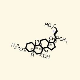 C[C@H](/C=C/C(=O)O)C1CCC2[C@H]3C(CC[C@@]21C)[C@@]1(C)CC[C@@H](OP)C[C@H]1C[C@H]3O